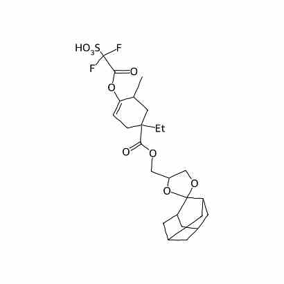 CCC1(C(=O)OCC2COC3(O2)C2CC4CC(C2)CC3C4)CC=C(OC(=O)C(F)(F)S(=O)(=O)O)C(C)C1